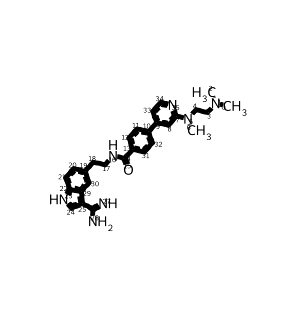 CN(C)CCN(C)c1cc(-c2ccc(C(=O)NCCc3ccc4[nH]cc(C(=N)N)c4c3)cc2)ccn1